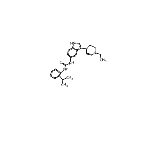 CCN1C=CC(c2c[nH]c3ccc(NC(=O)Nc4ccccc4C(C)C)cc23)CC1